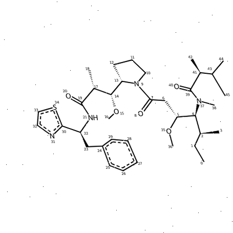 CC[C@H](C)[C@@H]([C@@H](CC(=O)N1CCC[C@H]1[C@H](OC)[C@@H](C)C(=O)N[C@@H](Cc1ccccc1)c1nccs1)OC)N(C)C(=O)[C@@H](C)C(C)C